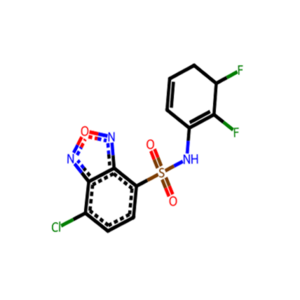 O=S(=O)(NC1=C(F)C(F)CC=C1)c1ccc(Cl)c2nonc12